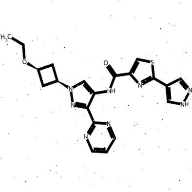 CCO[C@H]1C[C@@H](n2cc(NC(=O)c3csc(-c4cn[nH]c4)n3)c(-c3ncccn3)n2)C1